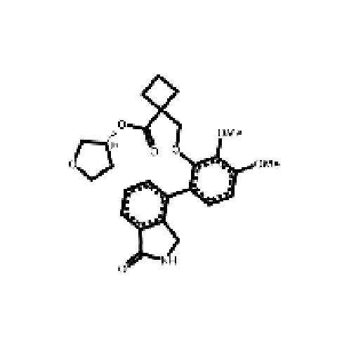 COc1ccc(-c2cccc3c2CNC3=O)c(OCC2(C(=O)O[C@@H]3CCOC3)CCC2)c1OC